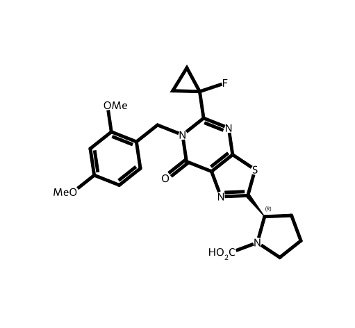 COc1ccc(Cn2c(C3(F)CC3)nc3sc([C@H]4CCCN4C(=O)O)nc3c2=O)c(OC)c1